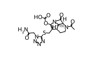 CC(=O)N1CCC2C(CSc3nnnn3CC(N)=O)=C(OC(=O)O)N3C(=O)[C@@H]1[C@@H]23